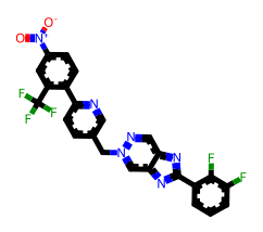 O=[N+]([O-])c1ccc(-c2ccc(Cn3cc4nc(-c5cccc(F)c5F)nc-4cn3)cn2)c(C(F)(F)F)c1